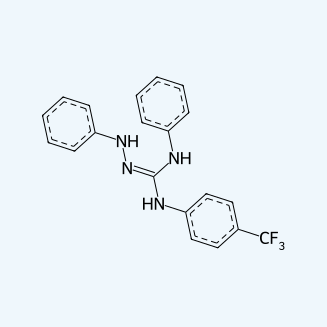 FC(F)(F)c1ccc(NC(=NNc2ccccc2)Nc2ccccc2)cc1